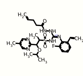 C=CCCC(=O)NN/C(=N/c1c(F)cccc1C=C)NS(=O)(=O)C(C)C(OC(C)C)c1ncc(C)cn1